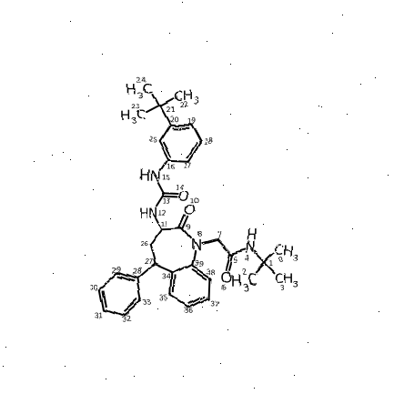 CC(C)(C)NC(=O)CN1C(=O)C(NC(=O)Nc2cccc(C(C)(C)C)c2)CC(c2ccccc2)c2ccccc21